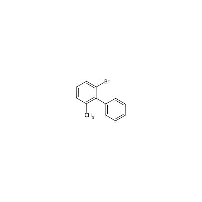 Cc1cccc(Br)c1-c1c[c]ccc1